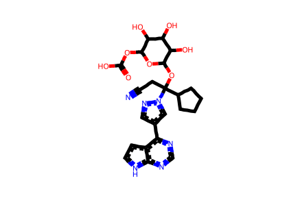 N#CCC(OC1OC(OC(=O)O)C(O)C(O)C1O)(C1CCCC1)n1cc(-c2ncnc3[nH]ccc23)cn1